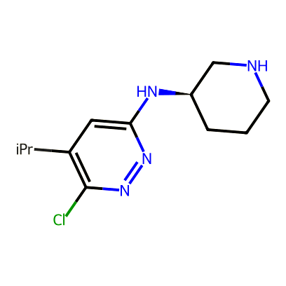 CC(C)c1cc(N[C@@H]2CCCNC2)nnc1Cl